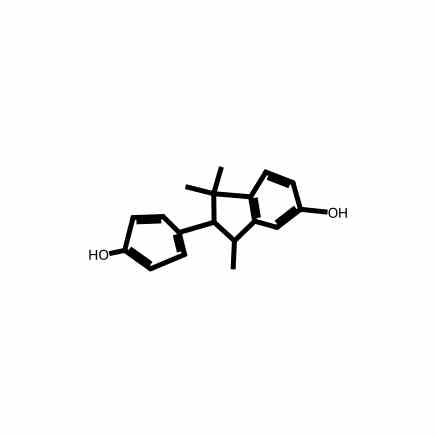 CC1c2cc(O)ccc2C(C)(C)C1c1ccc(O)cc1